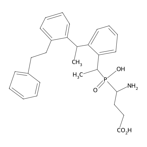 CC(c1ccccc1CCc1ccccc1)c1ccccc1C(C)P(=O)(O)C(N)CCC(=O)O